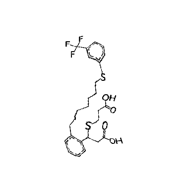 O=C(O)CCSC(CC(=O)O)c1ccccc1CCCCCCCSc1cccc(C(F)(F)F)c1